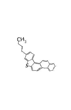 CCCCc1ccc2c(c1)sc1ccc3c4ccccc4ccc3c12